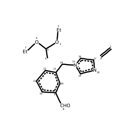 C=C.CCOC(C)OCC.O=Cc1cccc(Cn2ccnc2)c1